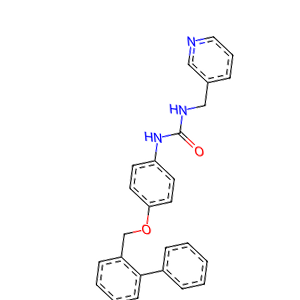 O=C(NCc1cccnc1)Nc1ccc(OCc2ccccc2-c2ccccc2)cc1